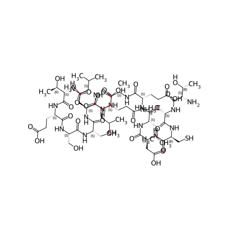 CC(C)C[C@H](NC(=O)[C@H](C)NC(=O)[C@H](CCC(=O)O)NC(=O)[C@H](CC(C)C)NC(=O)[C@H](CC(=O)O)NC(=O)[C@H](CS)NC(=O)[C@H](C)NC(=O)[C@@H](N)[C@@H](C)O)C(=O)N[C@H](C(=O)N[C@H](C(=O)N[C@@H](CCC(=O)O)C(=O)N[C@@H](CO)C(=O)N[C@@H](CO)C(=O)N[C@@H](CC(N)=O)C(=O)N[C@@H](CCC(N)=O)C(=O)O)[C@@H](C)O)C(C)C